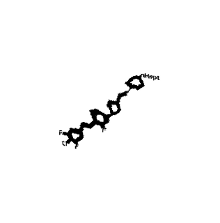 CCCCCCC[C@H]1CC[C@H](CCC2CCC(c3ccc(CCc4cc(F)c(Cl)c(F)c4)c(F)c3)CC2)CC1